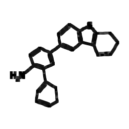 Nc1ccc(-c2ccc3sc4c(c3c2)C=CCC4)cc1C1=CC=CCC1